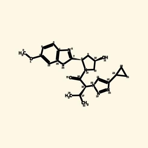 COc1ccc2nc([C@@H]3C[C@@H](O)CN3C(=O)[C@H](C(C)C)n3cc(C4CC4)nn3)sc2c1